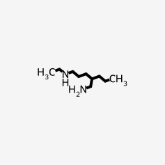 CCCC(CN)CCCNCC